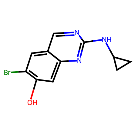 Oc1cc2nc(NC3CC3)ncc2cc1Br